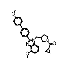 COc1ccc(-c2ccc(-c3nc4c(OC)cccc4n3CC3CCN(C(=O)C4CC4)C3)cc2)cc1